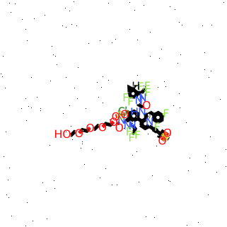 CC(C)(C#Cc1ccc(-c2ccc(Cl)c3c(N(C(=O)OCCOCCOCCOCCO)S(C)(=O)=O)nn(CC(F)(F)F)c23)c([C@H](Cc2cc(F)cc(F)c2)NC(=O)Cn2nc(C(F)(F)F)c3c2C(F)(F)C2C[C@H]32)n1)S(C)(=O)=O